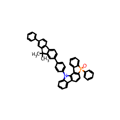 CC1(C)c2cc(-c3ccccc3)ccc2-c2ccc(-c3ccc(-n4c5ccccc5c5ccc6c(c54)-c4ccccc4P6(=O)c4ccccc4)cc3)cc21